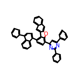 c1ccc(-c2cc(-c3ccc(-c4ccc(-c5ccccc5)c5ccccc45)c4c3oc3cc5ccccc5cc34)nc(-c3ccccc3)n2)cc1